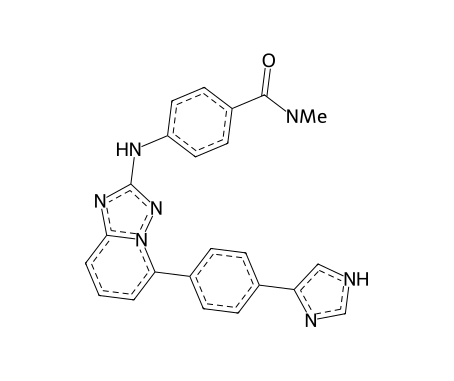 CNC(=O)c1ccc(Nc2nc3cccc(-c4ccc(-c5c[nH]cn5)cc4)n3n2)cc1